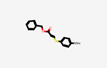 CNc1ccc(S/C=C/C(=O)OCc2ccccc2)cc1